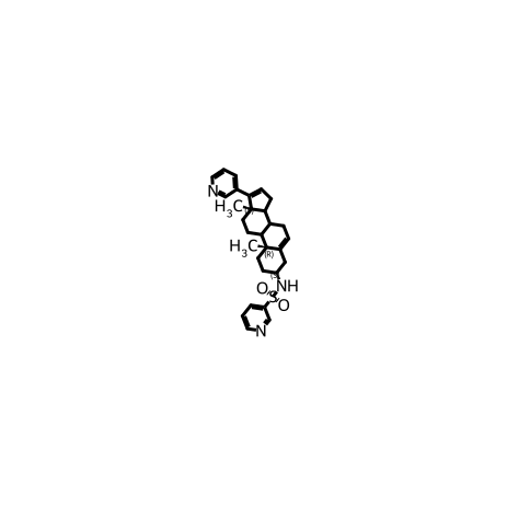 C[C@]12CC[C@H](NS(=O)(=O)c3cccnc3)CC1=CCC1C2CC[C@]2(C)C(c3cccnc3)=CCC12